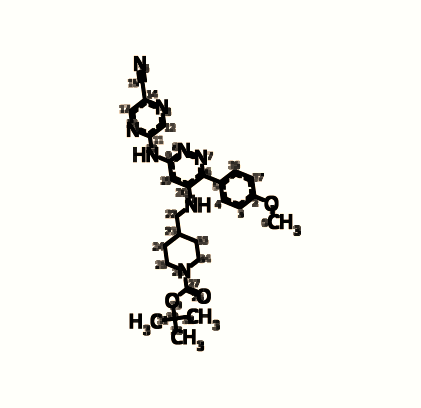 COc1ccc(-c2nnc(Nc3cnc(C#N)cn3)cc2NCC2CCN(C(=O)OC(C)(C)C)CC2)cc1